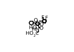 O=C(O)CNC(=O)c1c(O)n(C2CCCCC2)c(=O)n(Cc2cccc(F)c2F)c1=O